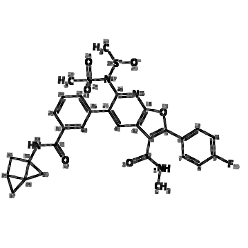 CNC(=O)c1c(-c2ccc(F)cc2)oc2nc(N([S+](C)[O-])S(C)(=O)=O)c(-c3cccc(C(=O)NC45CC6CC64C5)c3)cc12